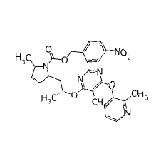 Cc1ncccc1Oc1ncnc(O[C@H](C)CC2CCC(C)N2C(=O)OCc2ccc([N+](=O)[O-])cc2)c1C